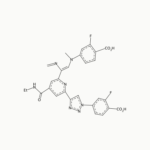 C=N/C(=C\N(C)c1ccc(C(=O)O)c(F)c1)c1cc(C(=O)NCC)cc(-c2cn(-c3ccc(C(=O)O)c(F)c3)nn2)n1